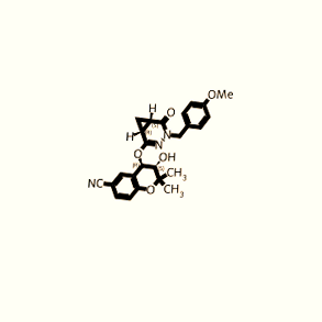 COc1ccc(CN2N=C(O[C@@H]3c4cc(C#N)ccc4OC(C)(C)[C@H]3O)[C@@H]3C[C@@H]3C2=O)cc1